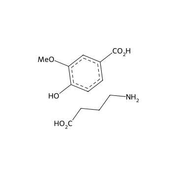 COc1cc(C(=O)O)ccc1O.NCCCC(=O)O